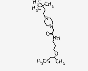 CSCC(C)OCCCNC(=O)CN1CCN(CCC(C)(C)C)CC1